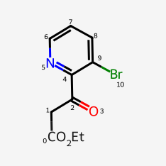 CCOC(=O)CC(=O)c1ncccc1Br